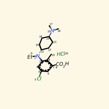 CCN(c1cc(Cl)cc(C(=O)O)c1C)[C@H]1CC[C@H](N(C)C)CC1.Cl